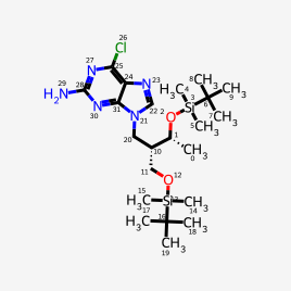 C[C@@H](O[Si](C)(C)C(C)(C)C)[C@H](CO[Si](C)(C)C(C)(C)C)Cn1cnc2c(Cl)nc(N)nc21